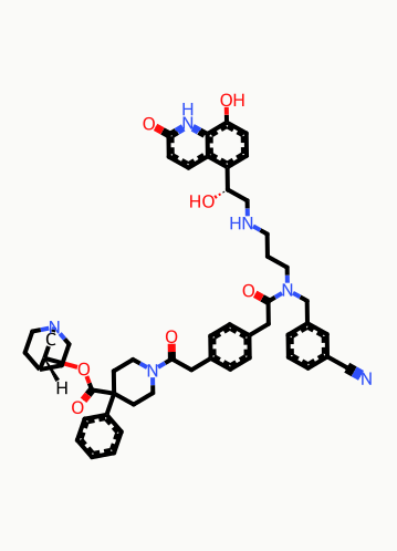 N#Cc1cccc(CN(CCCNC[C@H](O)c2ccc(O)c3[nH]c(=O)ccc23)C(=O)Cc2ccc(CC(=O)N3CCC(C(=O)O[C@H]4CN5CCC4CC5)(c4ccccc4)CC3)cc2)c1